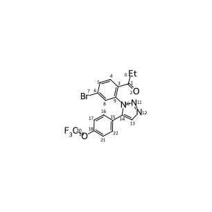 CCC(=O)c1ccc(Br)cc1-n1nncc1-c1ccc(OC(F)(F)F)cc1